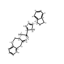 O=C(N[C@H]1COc2cccnc2CC1=O)c1nnc([C@H]2CCc3ccccc32)[nH]1